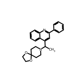 CC(c1cc(-c2ccccc2)nc2ccccc12)N1CCC2(CC1)OCCO2